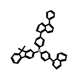 CC1(C)c2ccccc2-c2ccc(N(c3ccc(-c4cccc5ccccc45)cc3)c3ccc(-c4cccc5c(-c6ccccc6)cccc45)cc3)cc21